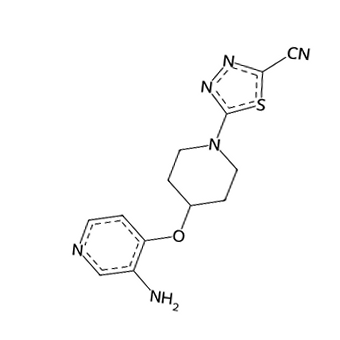 N#Cc1nnc(N2CCC(Oc3ccncc3N)CC2)s1